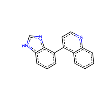 c1ccc2c(-c3cccc4[nH]cnc34)ccnc2c1